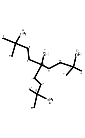 CCCC(C)(C)CCC(S)(CCC(C)(C)CCC)CCC(C)(C)CCC